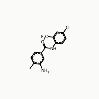 Cc1ccc(C(=O)Nc2ccc(Cl)cc2C(F)(F)F)cc1N